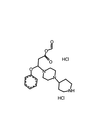 Cl.Cl.O=COC(=O)CC(Oc1ccccc1)N1CCN(C2CCNCC2)CC1